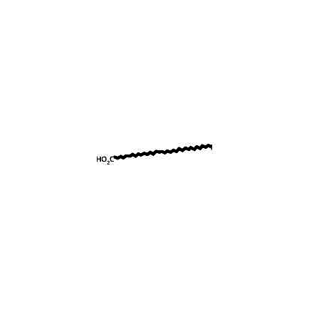 O=C(O)CCCCCCCCCCCCCCCCCCCCCCCCCCCCCCCCCI